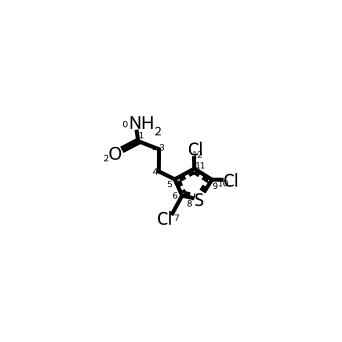 NC(=O)[CH]Cc1c(Cl)sc(Cl)c1Cl